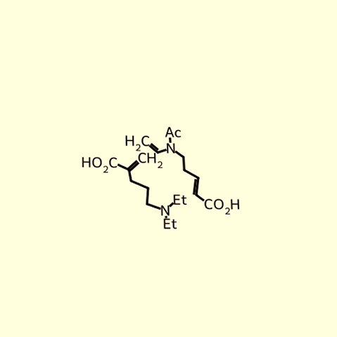 C=C(CCCN(CC)CC)C(=O)O.C=CN(CCC=CC(=O)O)C(C)=O